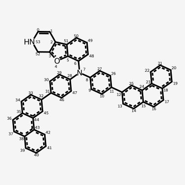 C1=Cc2c(oc3c(N(c4ccc(-c5ccc6ccc7ccccc7c6c5)cc4)c4ccc(-c5ccc6ccc7ccccc7c6c5)cc4)cccc23)CN1